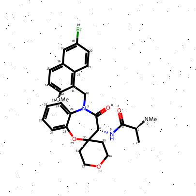 CN[C@@H](C)C(=O)N[C@H]1C(=O)N(Cc2c(OC)ccc3cc(Br)ccc23)c2ccccc2OC12CCOCC2